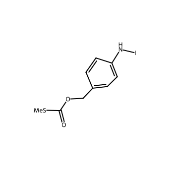 CSC(=O)OCc1ccc(NI)cc1